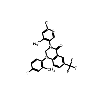 Cc1cc(Cl)ncc1N1CN(c2ccc(F)cc2C)c2ccc(C(F)(F)F)cc2C1=O